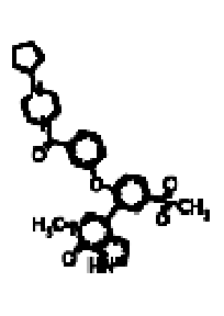 Cn1cc(-c2cc(S(C)(=O)=O)ccc2Oc2cccc(C(=O)N3CCN(C4CCCC4)CC3)c2)c2cc[nH]c2c1=O